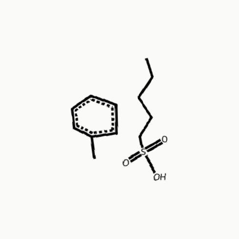 CCCCCS(=O)(=O)O.Cc1ccccc1